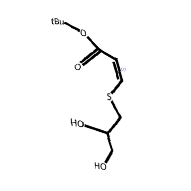 CC(C)(C)OC(=O)/C=C\SCC(O)CO